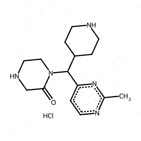 Cc1nccc(C(C2CCNCC2)N2CCNCC2=O)n1.Cl